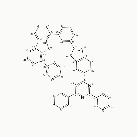 c1ccc(-c2nc(-c3ccccc3)nc(-c3ccc4nc(-c5cccc(-c6cccc7c6sc6c(-c8ccccc8)cccc67)c5)sc4c3)n2)cc1